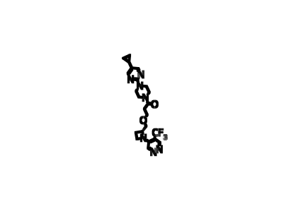 O=C(CCOC[C@@H]1CCN1c1cnncc1C(F)(F)F)N1CCN(c2ncc(C3CC3)cn2)CC1